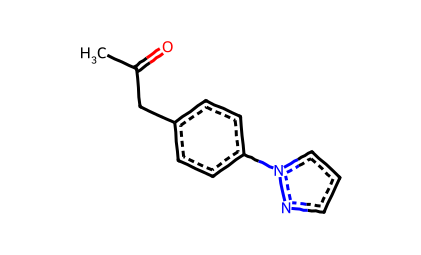 CC(=O)Cc1ccc(-n2cccn2)cc1